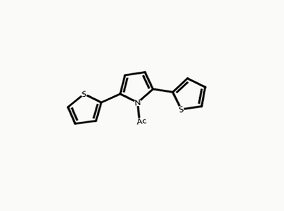 CC(=O)n1c(-c2cccs2)ccc1-c1cccs1